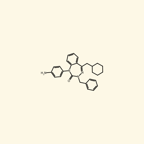 Nc1ccc(N2C(=O)N(Cc3ccccc3)N=C(CC3CCCCC3)c3ccccc32)cc1